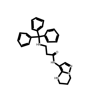 O=C(CCNC(c1ccccc1)(c1ccccc1)c1ccccc1)Nc1cnn2c1NCCC2